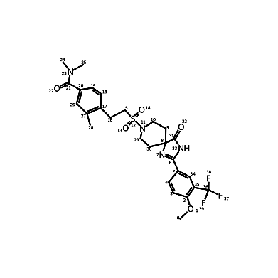 COc1ccc(C2=NC3(CCN(S(=O)(=O)CCc4ccc(C(=O)N(C)C)cc4C)CC3)C(=O)N2)cc1C(F)(F)F